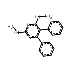 NNc1nc(NN)c(-c2ccccc2)c(-c2ccccc2)n1